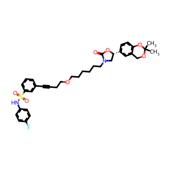 CC1(C)OCc2cc([C@@H]3CN(CCCCCCOCCC#Cc4cccc(S(=O)(=O)Nc5ccc(F)cc5)c4)C(=O)O3)ccc2O1